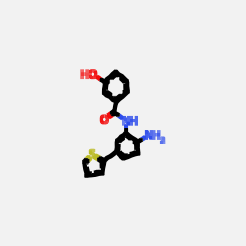 Nc1ccc(-c2cccs2)cc1NC(=O)c1cccc(O)c1